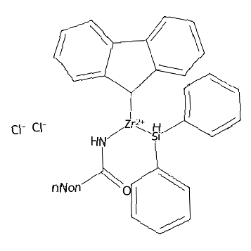 CCCCCCCCCC(=O)[NH][Zr+2]([CH]1c2ccccc2-c2ccccc21)[SiH](c1ccccc1)c1ccccc1.[Cl-].[Cl-]